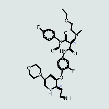 CCOCCN(C)/C=C(/C(=O)Nc1ccc(OC2=CC(N3CCOCC3)=CN/C2=C\C=N)c(F)c1)C(=O)N(C=O)c1ccc(F)cc1